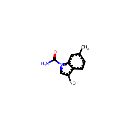 Cc1ccc2c(N=O)cn(C(N)=O)c2c1